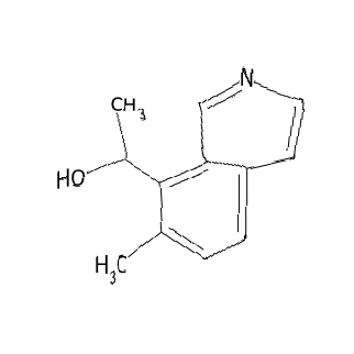 Cc1ccc2ccncc2c1C(C)O